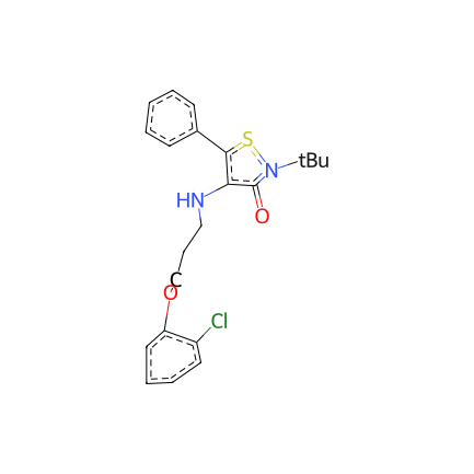 CC(C)(C)n1sc(-c2ccccc2)c(NCCCOc2ccccc2Cl)c1=O